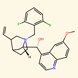 C=CC1C[N+]2(Cc3c(F)cccc3F)CCC1C[C@H]2[C@H](O)c1ccnc2ccc(OC)cc12